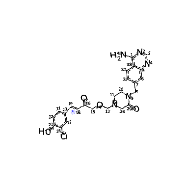 Nc1ncnc2cc(CN3CCN(COCC(=O)/C=C/c4ccc(O)c(Cl)c4)CC3=O)ccc12